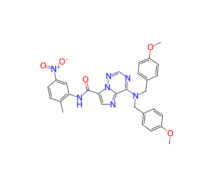 COc1ccc(CN(Cc2ccc(OC)cc2)c2ncnn3c(C(=O)Nc4cc([N+](=O)[O-])ccc4C)cnc23)cc1